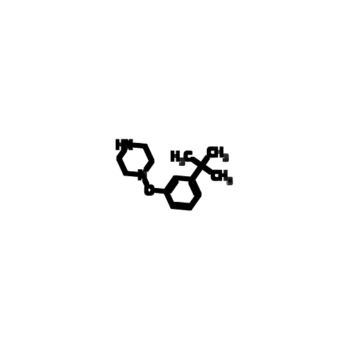 CC(C)(C)c1cccc(ON2CCNCC2)c1